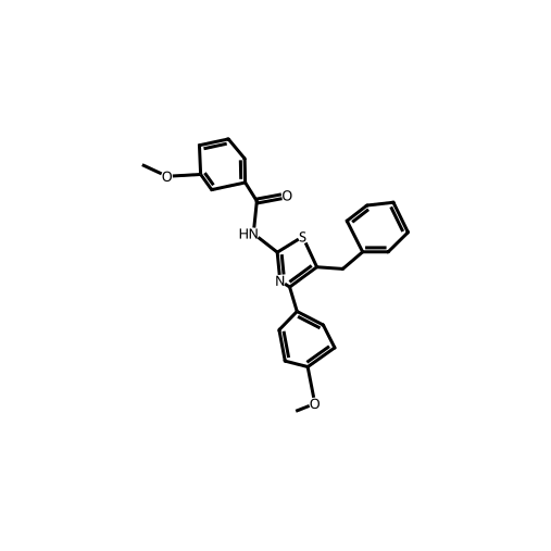 COc1ccc(-c2nc(NC(=O)c3cccc(OC)c3)sc2Cc2ccccc2)cc1